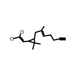 C#CCCC=C(C)CC1C(C=C(Cl)Cl)C1(C)C